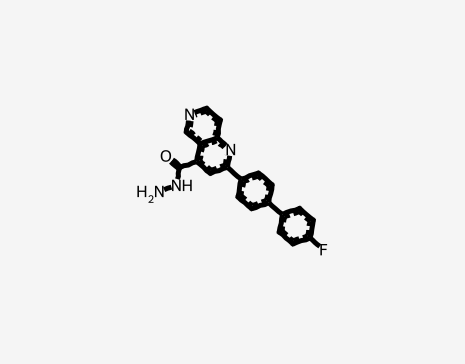 NNC(=O)c1cc(-c2ccc(-c3ccc(F)cc3)cc2)nc2ccncc12